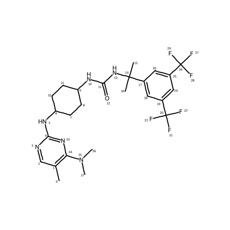 Cc1cnc(NC2CCC(NC(=O)NC(C)(C)c3cc(C(F)(F)F)cc(C(F)(F)F)c3)CC2)nc1N(C)C